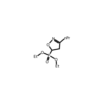 CCCC1=NOC(P(=O)(OCC)OCC)C1